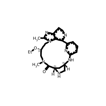 CCO[C@H]1CN(C)C(=O)[C@@H]2C[C@@H](CN2)Nc2cccc(n2)-c2nccc3nc(C)n(c23)C1